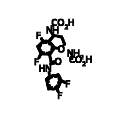 NC(=O)O.O=C(O)NC1CCOc2c(C(=O)Nc3ccc(F)c(F)c3)c(F)cc(F)c21